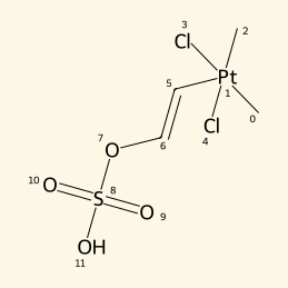 [CH3][Pt]([CH3])([Cl])([Cl])[CH]=COS(=O)(=O)O